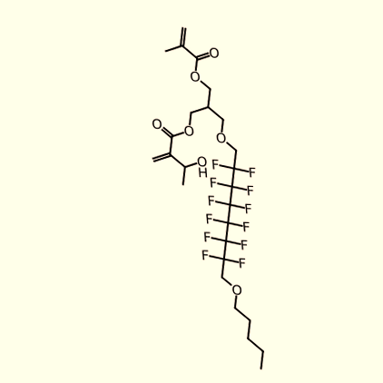 C=C(C)C(=O)OCC(COCC(F)(F)C(F)(F)C(F)(F)C(F)(F)C(F)(F)C(F)(F)COCCCCC)COC(=O)C(=C)C(C)O